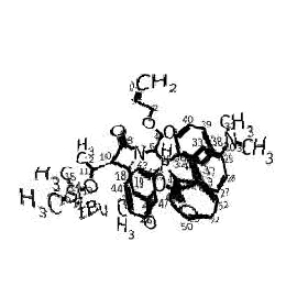 C=CCOC(=O)C(N1C(=O)[C@H](C(C)O[Si](C)(C)C(C)(C)C)[C@H]1[C@@H](C)C(=O)OC(=O)c1ccc(N(C)C)cc1)[PH](c1ccccc1)(c1ccccc1)c1ccccc1